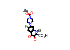 CCN1c2cc(N3CCN(C(=O)OC(C)(C)C)CC3)c(F)cc2C(=O)C(=O)C1C(=O)O